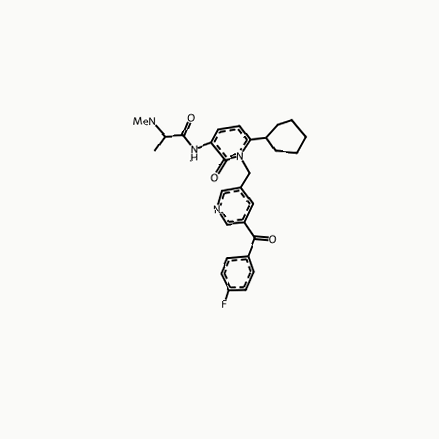 CNC(C)C(=O)Nc1ccc(C2CCCCC2)n(Cc2cncc(C(=O)c3ccc(F)cc3)c2)c1=O